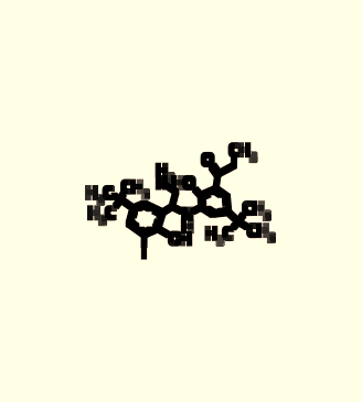 CCC(=O)c1cc(C(C)(C)C)cc(NC(CN)c2cc(C(C)(C)C)cc(I)c2O)c1O